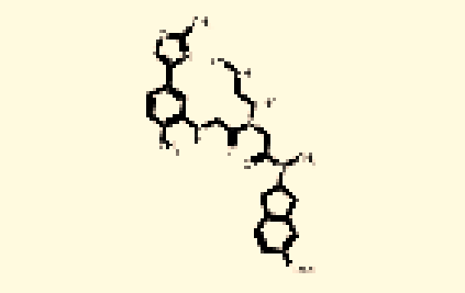 COc1ccc2c(c1)CC(N(C)C(=O)CN(CCNC(C)C)C(=O)CNc1cc(-c3noc(C)n3)ccc1C)C2.Cl